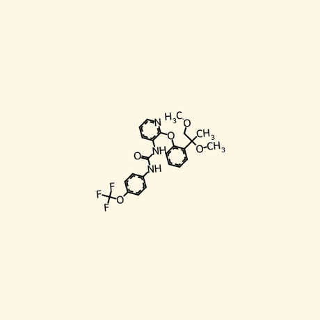 COCC(C)(OC)c1ccccc1Oc1ncccc1NC(=O)Nc1ccc(OC(F)(F)F)cc1